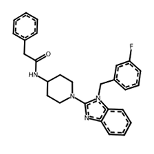 O=C(Cc1ccccc1)NC1CCN(c2nc3ccccc3n2Cc2cccc(F)c2)CC1